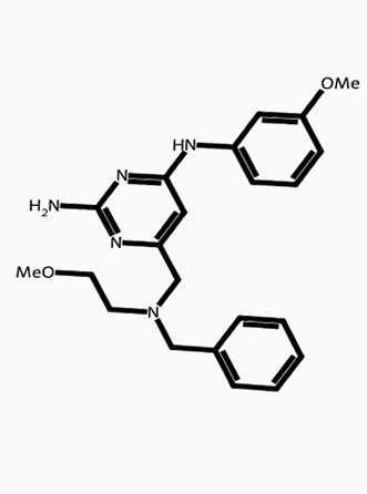 COCCN(Cc1ccccc1)Cc1cc(Nc2cccc(OC)c2)nc(N)n1